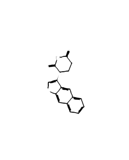 O=C1CC[C@@H](c2coc3cc4ccccc4cc23)C(=O)N1